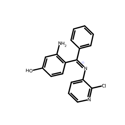 Nc1cc(O)ccc1/C(=N\c1cccnc1Cl)c1ccccc1